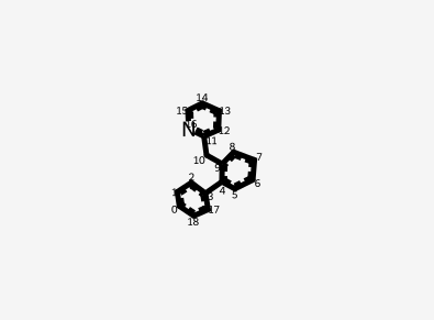 c1ccc(-c2ccccc2Cc2ccccn2)cc1